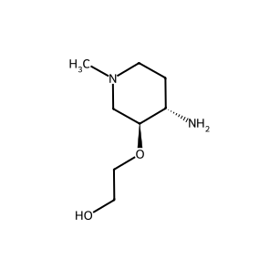 CN1CC[C@H](N)[C@@H](OCCO)C1